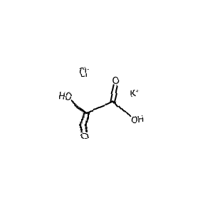 O=C(O)C(=O)O.[Cl-].[K+]